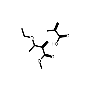 C=C(C(=O)OC)C(C)OCC.C=C(C)C(=O)O